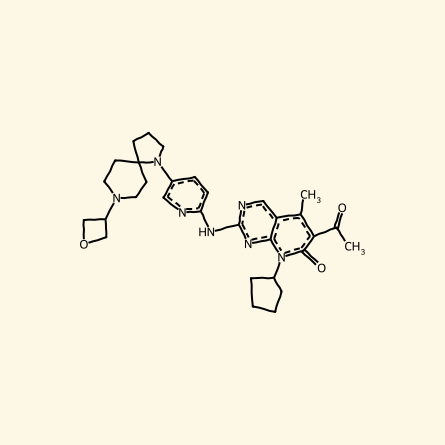 CC(=O)c1c(C)c2cnc(Nc3ccc(N4CCCC45CCN(C4COC4)CC5)cn3)nc2n(C2CCCC2)c1=O